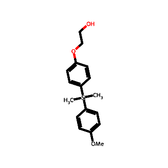 COc1ccc([Si](C)(C)c2ccc(OCCO)cc2)cc1